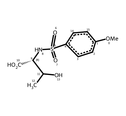 COc1ccc(S(=O)(=O)N[C@@H](C(=O)O)C(C)O)cc1